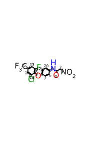 O=C(C[N+](=O)[O-])Nc1ccc(Oc2c(F)cc(C(F)(F)F)cc2Cl)cc1